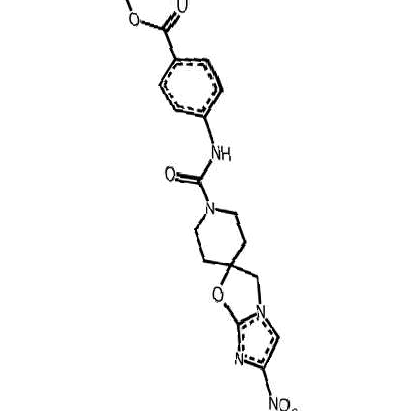 CC(C)(C)OC(=O)c1ccc(NC(=O)N2CCC3(CC2)Cn2cc([N+](=O)[O-])nc2O3)cc1